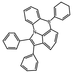 C1=CC(B2c3ccccc3-n3c(-c4ccccc4)c(-c4ccccc4)c4cccc2c43)=CCC1